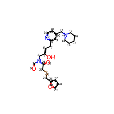 O=CN(C/C(O)=C/Cc1cc(CN2CCCCC2)ccn1)C(=O)CSCc1ccco1